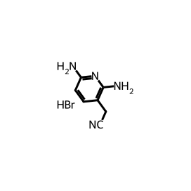 Br.N#CCc1ccc(N)nc1N